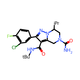 CC(C)C1CN(C(N)=O)Cc2c(C(=O)NC(C)(C)C)c(-c3ccc(F)c(Cl)c3)nn21